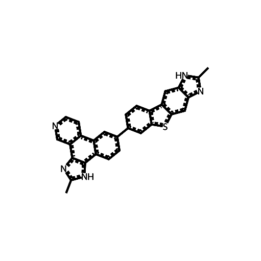 Cc1nc2cc3sc4cc(-c5ccc6c(c5)c5ccncc5c5nc(C)[nH]c65)ccc4c3cc2[nH]1